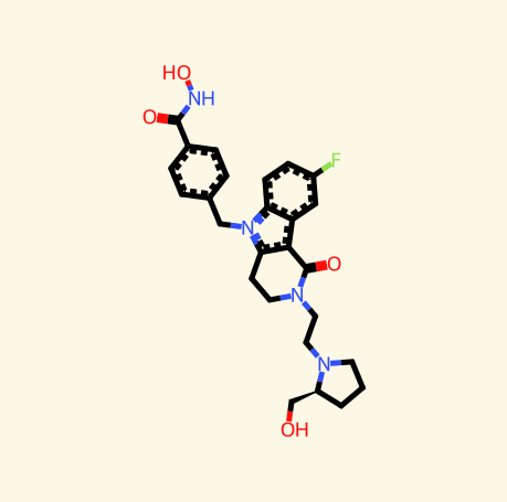 O=C(NO)c1ccc(Cn2c3c(c4cc(F)ccc42)C(=O)N(CCN2CCC[C@H]2CO)CC3)cc1